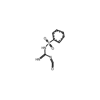 N=C(N=C=O)NS(=O)(=O)c1ccccc1